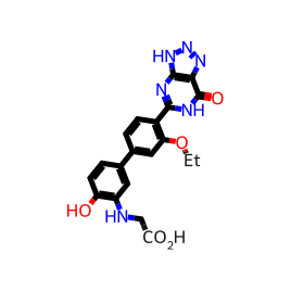 CCOc1cc(-c2ccc(O)c(NCC(=O)O)c2)ccc1-c1nc2[nH]nnc2c(=O)[nH]1